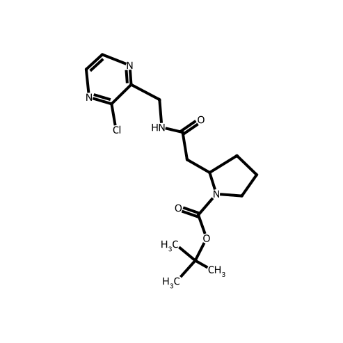 CC(C)(C)OC(=O)N1CCCC1CC(=O)NCc1nccnc1Cl